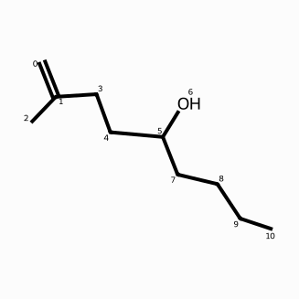 C=C(C)CCC(O)CCCC